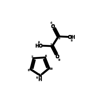 O=C(O)C(=O)O.c1cc[nH]c1